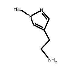 CC(C)(C)n1cc(CCN)cn1